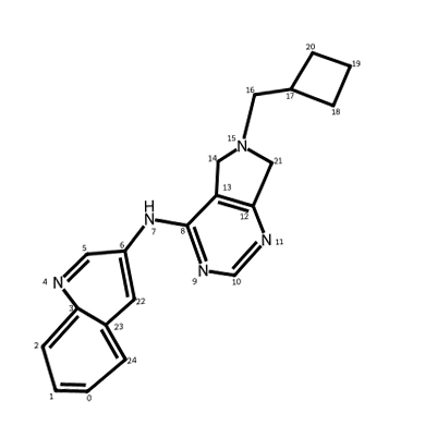 c1ccc2ncc(Nc3ncnc4c3CN(CC3CCC3)C4)cc2c1